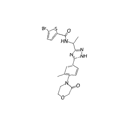 Cc1cc(-c2nc(C(C)NC(=O)c3ccc(Br)s3)n[nH]2)ccc1N1CCOCC1=O